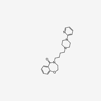 O=C1c2ccccc2OCCN1CCCCN1CCN(c2ccccn2)CC1